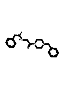 C[C@H](Cc1ccccc1)NCC(=O)N1CCN(Cc2ccccc2)CC1